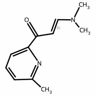 Cc1cccc(C(=O)/C=C/N(C)C)n1